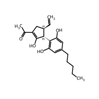 C=C[C@@H]1CC(C(C)=O)=C(O)[C@H]1c1c(O)cc(CCCCC)cc1O